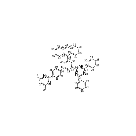 Cc1cc(C)nc(-c2ccc(-c3cc(-c4nc(-c5ccccc5)nc(-c5ccccc5)n4)cc(-c4c5ccccc5cc5ccccc45)c3)cc2)n1